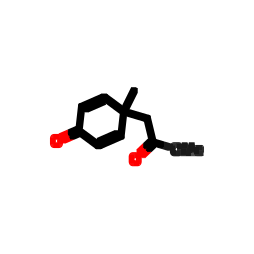 COC(=O)CC1(C)C=CC(=O)C=C1